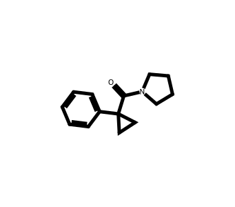 O=C(N1CCCC1)C1(c2ccccc2)CC1